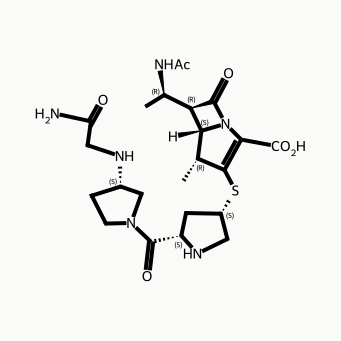 CC(=O)N[C@H](C)[C@H]1C(=O)N2C(C(=O)O)=C(S[C@@H]3CN[C@H](C(=O)N4CC[C@H](NCC(N)=O)C4)C3)[C@H](C)[C@H]12